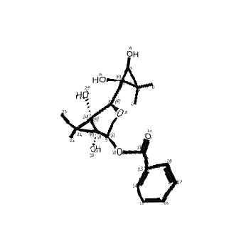 CC1(C)C(O)[C@@]1(O)[C@H]1O[C@@H](OC(=O)c2ccccc2)[C@@]2(O)C(C)(C)[C@@]12O